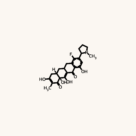 CC1=C(O)C[C@@H]2CC3Cc4c(F)c(C5CCCN5C)cc(O)c4C(=O)C3=C(O)[C@]2(O)C1=O